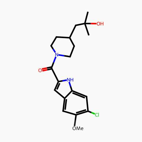 COc1cc2cc(C(=O)N3CCC(CC(C)(C)O)CC3)[nH]c2cc1Cl